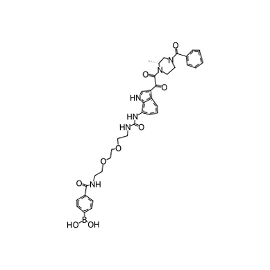 C[C@@H]1CN(C(=O)c2ccccc2)CCN1C(=O)C(=O)c1c[nH]c2c(NC(=O)NCCOCCOCCNC(=O)c3ccc(B(O)O)cc3)cccc12